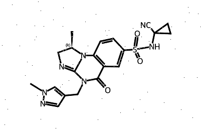 C[C@@H]1CN=C2N(Cc3cnn(C)c3)C(=O)c3cc(S(=O)(=O)NC4(C#N)CC4)ccc3N21